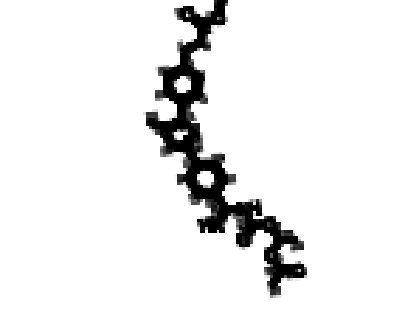 COC(=O)CCc1ccc(-c2nc(-c3ccc(C(=N)NC(=O)OC(C)OC(C)=O)cc3)cn2C)cc1